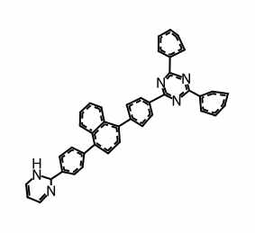 C1=CNC(c2ccc(-c3ccc(-c4ccc(-c5nc(-c6ccccc6)nc(-c6ccccc6)n5)cc4)c4ccccc34)cc2)N=C1